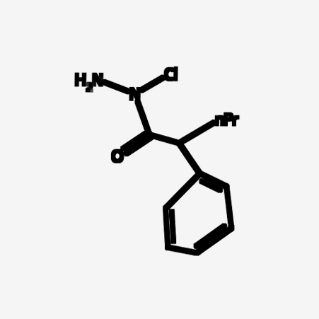 CCCC(C(=O)N(N)Cl)c1ccccc1